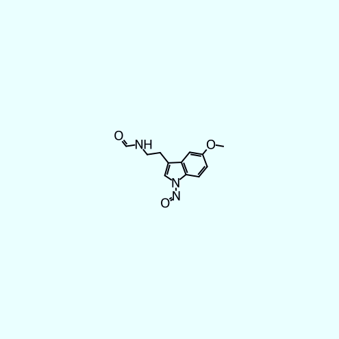 COc1ccc2c(c1)c(CCNC=O)cn2N=O